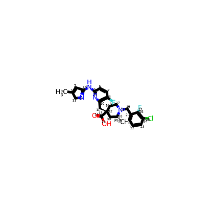 CC1=CC(Nc2ccc(F)c(C[C@@]3(C(=O)O)CCN(Cc4cccc(Cl)c4F)[C@H](C)C3)n2)=NC1